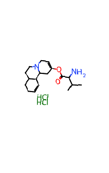 CC(C)C(N)C(=O)OC1=CCN2CCC3CCC=CC3C2C1.Cl.Cl